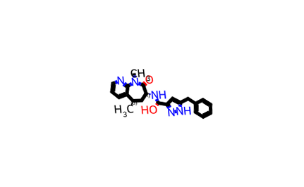 C[C@H]1C[C@@H](NC(O)c2cc(Cc3ccccc3)[nH]n2)C(=O)N(C)c2ncccc21